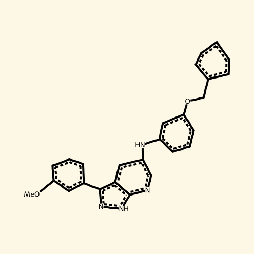 COc1cccc(-c2n[nH]c3ncc(Nc4cccc(OCc5ccccc5)c4)cc23)c1